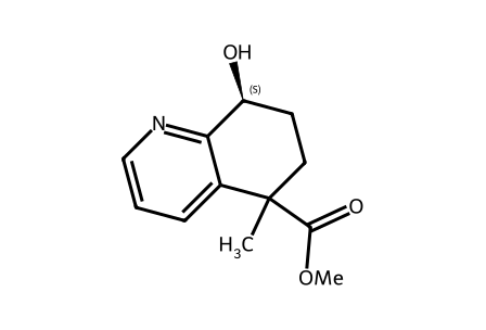 COC(=O)C1(C)CC[C@H](O)c2ncccc21